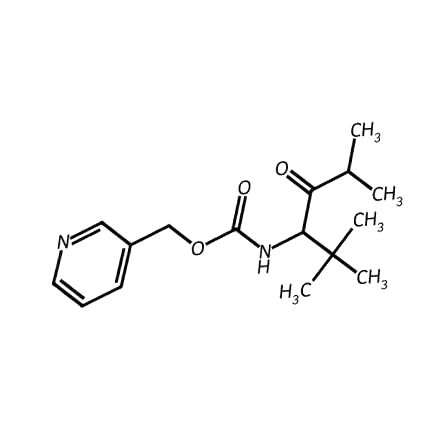 CC(C)C(=O)C(NC(=O)OCc1cccnc1)C(C)(C)C